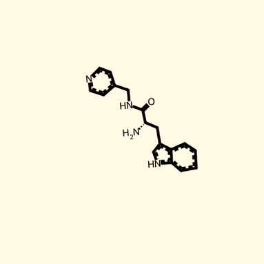 N[C@@H](Cc1c[nH]c2ccccc12)C(=O)NCc1ccncc1